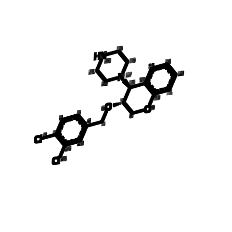 Clc1ccc(CO[C@H]2COc3ccccc3[C@@H]2N2CCNCC2)cc1Cl